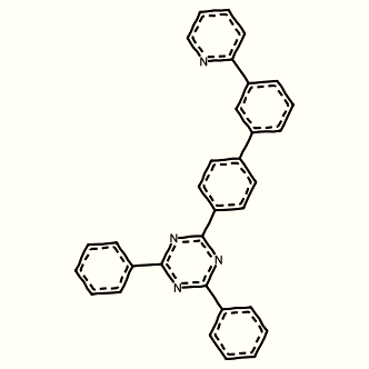 c1ccc(-c2nc(-c3ccccc3)nc(-c3ccc(-c4cccc(-c5ccccn5)c4)cc3)n2)cc1